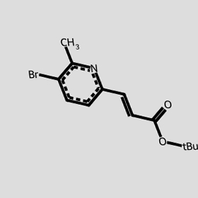 Cc1nc(/C=C/C(=O)OC(C)(C)C)ccc1Br